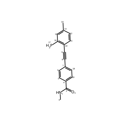 CNC(=O)c1ccc(C#Cc2ccc(C)cc2P)cc1